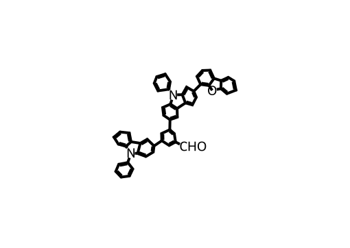 O=Cc1cc(-c2ccc3c(c2)c2ccccc2n3-c2ccccc2)cc(-c2ccc3c(c2)c2ccc(-c4cccc5c4oc4ccccc45)cc2n3-c2ccccc2)c1